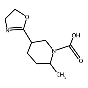 CC1CCC(C2=NCCO2)CN1C(=O)O